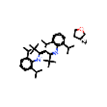 C1CCOC1.CC(C)c1cccc(C(C)C)c1/N=C(\C=C(/[N-]c1c(C(C)C)cccc1C(C)C)C(C)(C)C)C(C)(C)C.[Ni]